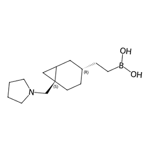 OB(O)CC[C@@H]1CC[C@]2(CN3CCCC3)CC2C1